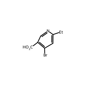 CCc1cc(Br)c(C(=O)O)cn1